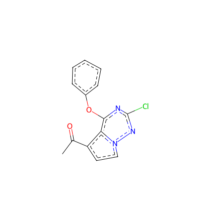 CC(=O)c1ccn2nc(Cl)nc(Oc3ccccc3)c12